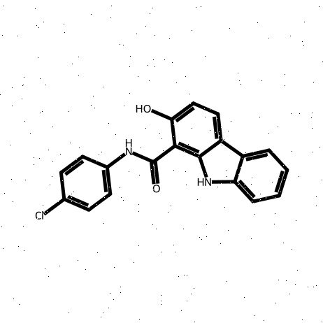 O=C(Nc1ccc(Cl)cc1)c1c(O)ccc2c1[nH]c1ccccc12